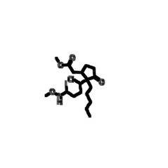 CCCCCC1(C(Cl)CCC(I)NOC)C(=O)CCC1CC(=O)OC